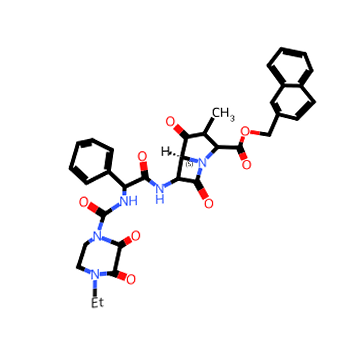 CCN1CCN(C(=O)NC(C(=O)NC2C(=O)N3C(C(=O)OCc4ccc5ccccc5c4)C(C)C(=O)[C@H]23)c2ccccc2)C(=O)C1=O